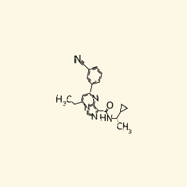 CCc1cc(-c2cccc(C#N)c2)nc2c(C(=O)N[C@@H](C)C3CC3)ncn12